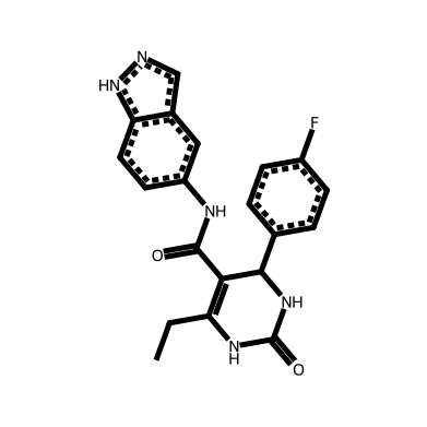 CCC1=C(C(=O)Nc2ccc3[nH]ncc3c2)C(c2ccc(F)cc2)NC(=O)N1